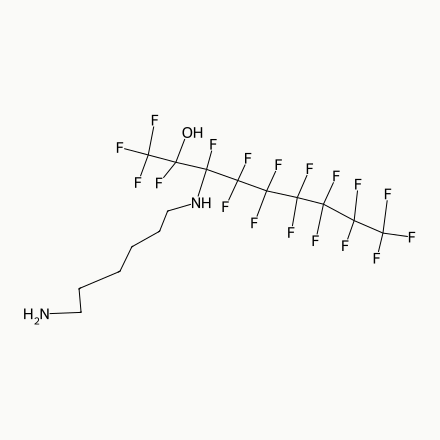 NCCCCCCNC(F)(C(O)(F)C(F)(F)F)C(F)(F)C(F)(F)C(F)(F)C(F)(F)C(F)(F)C(F)(F)F